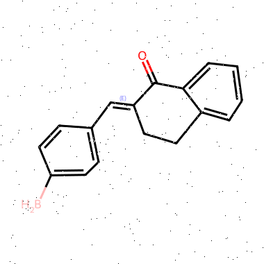 Bc1ccc(/C=C2\CCc3ccccc3C2=O)cc1